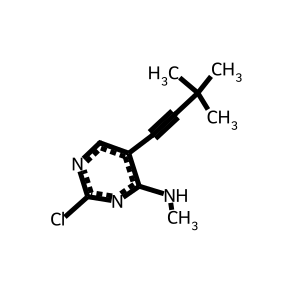 CNc1nc(Cl)ncc1C#CC(C)(C)C